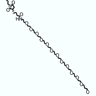 O=CCCOCCOCCOCCOCCOCCOCCOCCOCCOCCOCCOCCOCCNC(=O)CCSC1CC(=O)N(CCC=O)C1=O